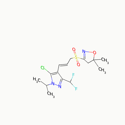 CC(C)n1nc(C(F)F)c(C=CCS(=O)(=O)C2=NOC(C)(C)C2)c1Cl